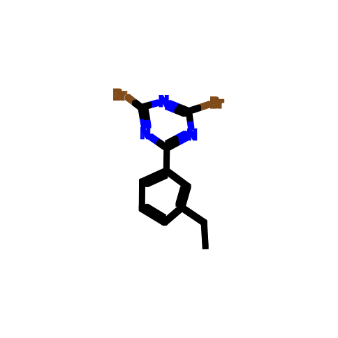 CCc1cccc(-c2nc(Br)nc(Br)n2)c1